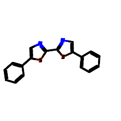 c1ccc(-c2cnc(-c3ncc(-c4ccccc4)s3)s2)cc1